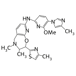 COc1nc(Nc2ccc3c(n2)OC(c2nc(C)cs2)C(C)N(C)C3)ccc1-n1cnc(C)c1